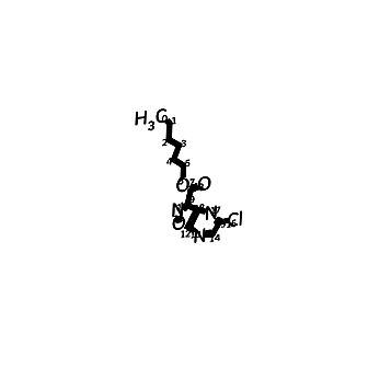 CCCCCCOC(=O)c1noc2ncc(Cl)nc12